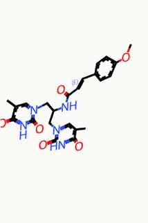 COc1ccc(/C=C/C(=O)NC(Cn2cc(C)c(=O)[nH]c2=O)Cn2cc(C)c(=O)[nH]c2=O)cc1